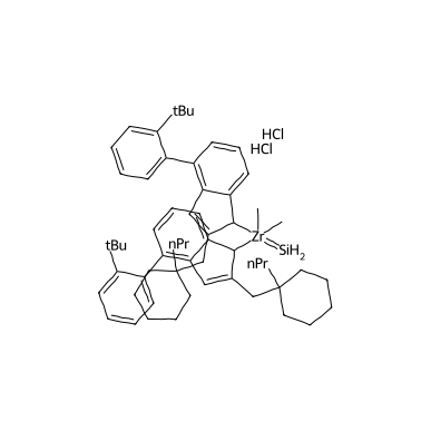 CCCC1(CC2=Cc3c(-c4ccccc4C(C)(C)C)cccc3[CH]2[Zr]([CH3])([CH3])(=[SiH2])[CH]2C(CC3(CCC)CCCCC3)=Cc3c(-c4ccccc4C(C)(C)C)cccc32)CCCCC1.Cl.Cl